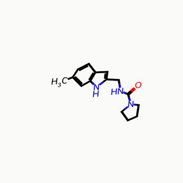 Cc1ccc2cc(CNC(=O)N3CCCC3)[nH]c2c1